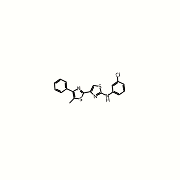 Cc1sc(-c2csc(Nc3cccc(Cl)c3)n2)nc1-c1ccccc1